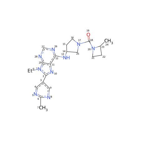 CCn1c(-c2cnc(C)nc2)nc2c(NC3CCN(C(=O)N4CCC4C)C3)ncnc21